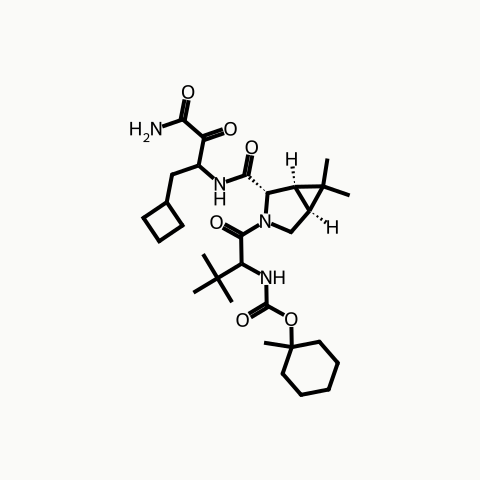 CC1(OC(=O)NC(C(=O)N2C[C@H]3[C@@H]([C@H]2C(=O)NC(CC2CCC2)C(=O)C(N)=O)C3(C)C)C(C)(C)C)CCCCC1